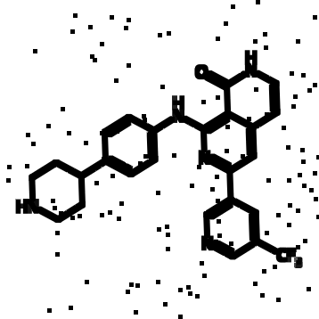 O=c1[nH]ccc2cc(-c3cncc(C(F)(F)F)c3)nc(Nc3ccc(C4CCNCC4)cc3)c12